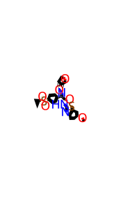 COc1ccc2nc(NC(=O)/C(=N/O[C@@H]3CCOC3)c3ccc(S(=O)(=O)C4CC4)cc3)sc2c1